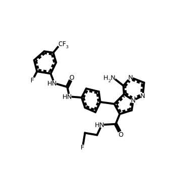 Nc1ncnn2cc(C(=O)NCCF)c(-c3ccc(NC(=O)Nc4cc(C(F)(F)F)ccc4F)cc3)c12